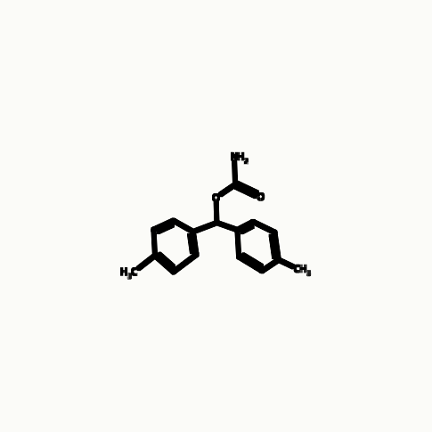 Cc1ccc(C(OC(N)=O)c2ccc(C)cc2)cc1